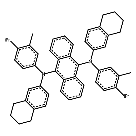 Cc1cc(N(c2ccc3c(c2)CCCC3)c2c3ccccc3c(N(c3ccc(C(C)C)c(C)c3)c3ccc4c(c3)CCCC4)c3ccccc23)ccc1C(C)C